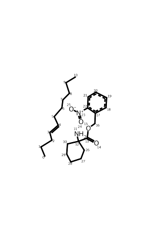 CCCC=CCCCCCC.NC1(C(=O)OCc2ccccc2[N+](=O)[O-])CCCCC1